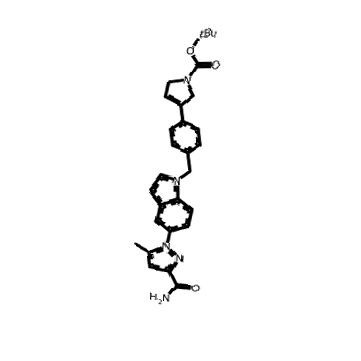 Cc1cc(C(N)=O)nn1-c1ccc2c(ccn2Cc2ccc(C3=CCN(C(=O)OC(C)(C)C)C3)cc2)c1